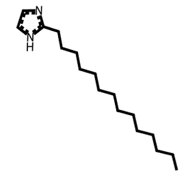 CCCCCCCCCCCCCCc1ncc[nH]1